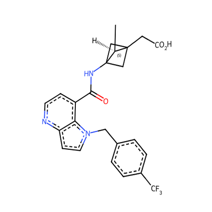 C[C@H]1C2(CC(=O)O)CC1(NC(=O)c1ccnc3ccn(Cc4ccc(C(F)(F)F)cc4)c13)C2